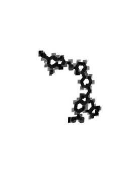 Cc1scnc1Cn1c(CN2CCC(c3cccc(OCc4nc5c(F)cc(C#N)cc5s4)n3)CC2)nc2ccc(C(=O)O)cc21